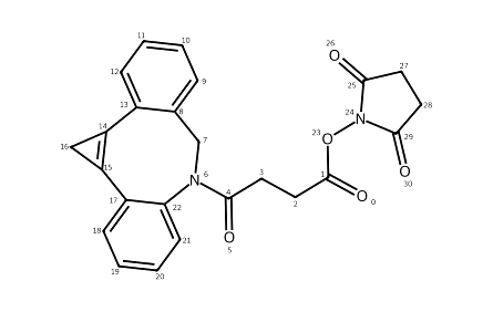 O=C(CCC(=O)N1Cc2ccccc2C2=C(C2)c2ccccc21)ON1C(=O)CCC1=O